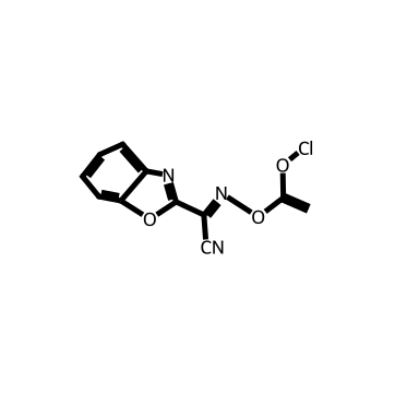 C=C(OCl)ON=C(C#N)c1nc2ccccc2o1